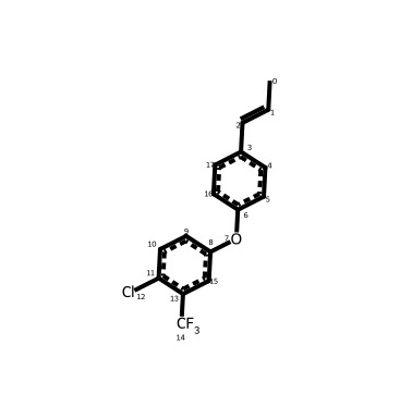 C/C=C/c1ccc(Oc2ccc(Cl)c(C(F)(F)F)c2)cc1